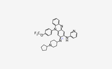 FC(F)(F)Oc1ccc(-n2c3c/c(=N\C4CCN(C5CCCC5)CC4)c(Nc4cccnc4)cc-3nc3ccccc32)cc1